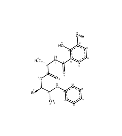 CC[C@@H](OC(=O)[C@H](C)NC(=O)c1nccc(OC)c1O)[C@@H](C)Oc1ccccc1